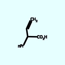 [CH2]CCC(C=C)C(=O)O